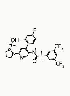 Cc1cc(F)ccc1-c1cc(N2CCC[C@H]2C(C)(C)O)ncc1N(C)C(=O)C(C)(C)c1cc(C(F)(F)F)cc(C(F)(F)F)c1